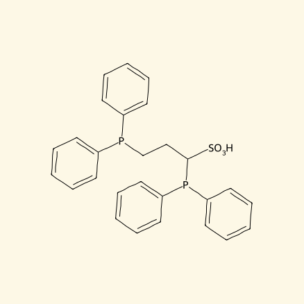 O=S(=O)(O)C(CCP(c1ccccc1)c1ccccc1)P(c1ccccc1)c1ccccc1